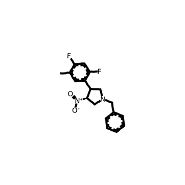 Cc1cc(C2CN(Cc3ccccc3)C[C@H]2[N+](=O)[O-])c(F)cc1F